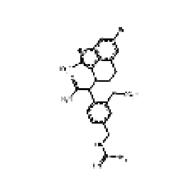 N=C(N)NCc1ccc(C(C(N)=O)C2CCc3cc(Br)cc4[nH]c(C(=O)O)c2c34)c(CC(=O)O)c1